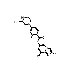 Cc1cn2cc(NC(=O)c3ccc(N4CCNC(C)C4)cc3F)cc(Cl)c2n1